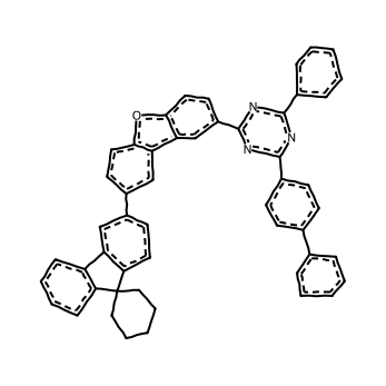 c1ccc(-c2ccc(-c3nc(-c4ccccc4)nc(-c4ccc5oc6ccc(-c7ccc8c(c7)-c7ccccc7C87CCCCC7)cc6c5c4)n3)cc2)cc1